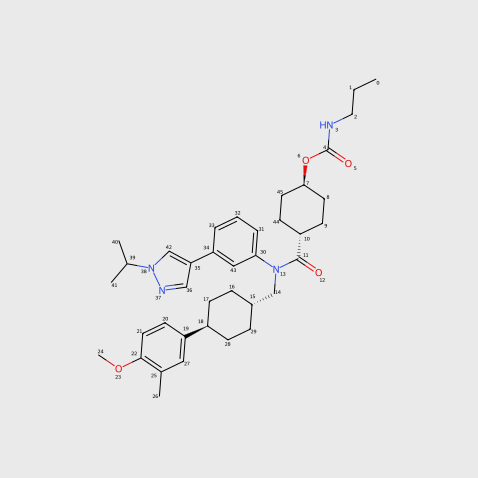 CCCNC(=O)O[C@H]1CC[C@H](C(=O)N(C[C@H]2CC[C@H](c3ccc(OC)c(C)c3)CC2)c2cccc(-c3cnn(C(C)C)c3)c2)CC1